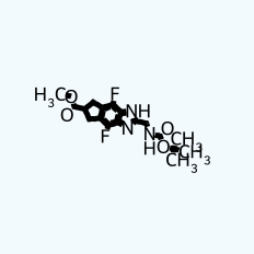 COC(=O)C1Cc2c(c(F)c3[nH]c(CNC(=O)OC(C)(C)C)nc3c2F)C1